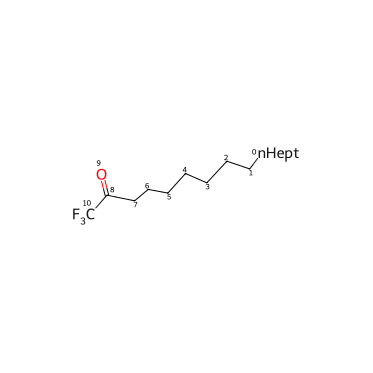 CCCCCCCCCCCCCCC(=O)C(F)(F)F